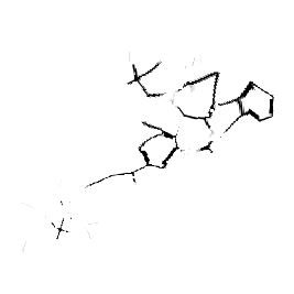 C[C@@H]1Cc2c(n(C(=O)O)c3ccccc23)[C@@H](c2c(F)cc(C(O)CCO[Si](C)(C)C(C)(C)C)cc2F)N1CC(F)(F)F